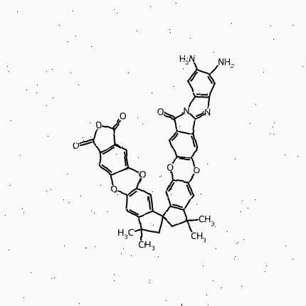 CC1(C)CC2(CC(C)(C)c3cc4oc5cc6c(cc5oc4cc32)c(=O)n2c3cc(N)c(N)cc3nc62)c2cc3oc4cc5c(=O)oc(=O)c5cc4oc3cc21